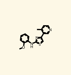 COc1ccccc1Nc1nc(-c2cnccc2C)cs1